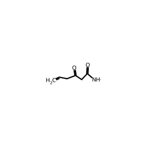 C=CCC(=O)CC([NH])=O